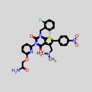 CN(C)Cc1c(-c2ccc([N+](=O)[O-])cc2)sc2c1c(=O)n(-c1cccc(OCC(N)=O)n1)c(=O)n2Cc1c(F)cccc1F